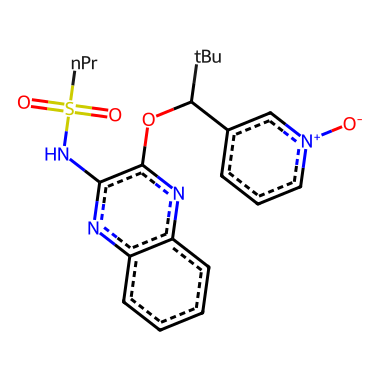 CCCS(=O)(=O)Nc1nc2ccccc2nc1OC(c1ccc[n+]([O-])c1)C(C)(C)C